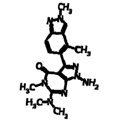 Cc1c(-c2nn(N)c3nc(N(C)C)n(C)c(=O)c23)ccc2nn(C)cc12